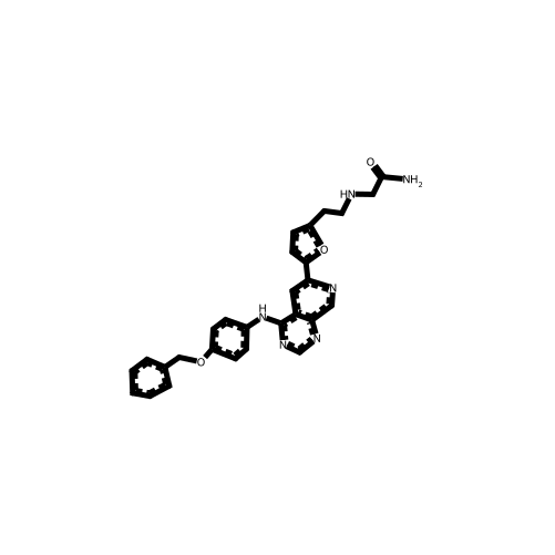 NC(=O)CNCCc1ccc(-c2cc3c(Nc4ccc(OCc5ccccc5)cc4)ncnc3cn2)o1